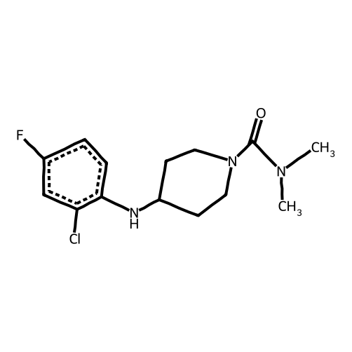 CN(C)C(=O)N1CCC(Nc2ccc(F)cc2Cl)CC1